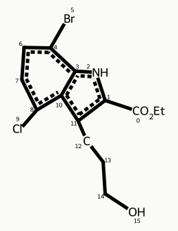 CCOC(=O)c1[nH]c2c(Br)ccc(Cl)c2c1CCCO